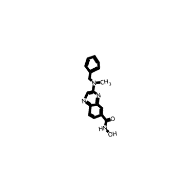 CN(Cc1ccccc1)c1cnc2ccc(C(=O)NO)cc2n1